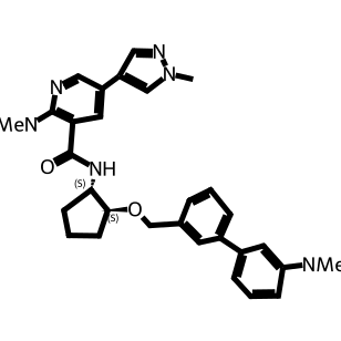 CNc1cccc(-c2cccc(CO[C@H]3CCC[C@@H]3NC(=O)c3cc(-c4cnn(C)c4)cnc3NC)c2)c1